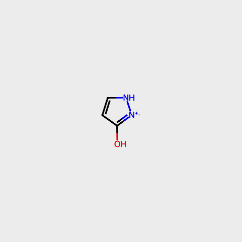 OC1=[N+]NC=C1